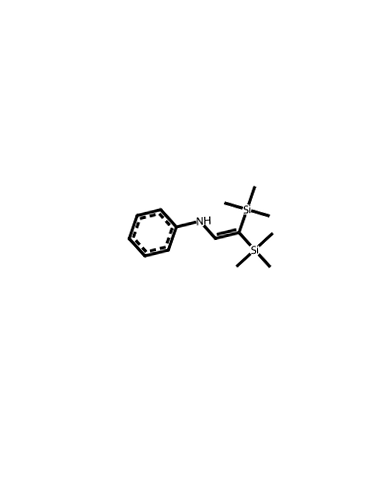 C[Si](C)(C)C(=CNc1ccccc1)[Si](C)(C)C